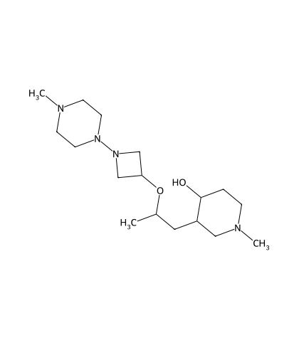 CC(CC1CN(C)CCC1O)OC1CN(N2CCN(C)CC2)C1